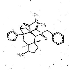 CC(C)C1=CC2CC3(C=O)[C@@H]4CC[C@@H](C)[C@H]4CC2(c2ccco2)C13C(=O)OCc1ccccc1